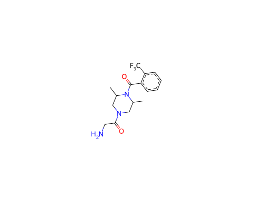 CC1CN(C(=O)CN)CC(C)N1C(=O)c1ccccc1C(F)(F)F